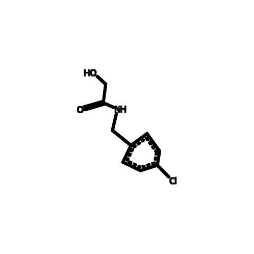 O=C(CO)NCc1ccc(Cl)cc1